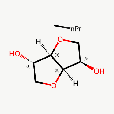 CCCC.O[C@@H]1CO[C@H]2[C@@H]1OC[C@@H]2O